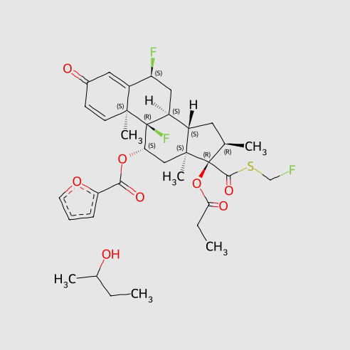 CCC(=O)O[C@]1(C(=O)SCF)[C@H](C)C[C@H]2[C@@H]3C[C@H](F)C4=CC(=O)C=C[C@]4(C)[C@@]3(F)[C@@H](OC(=O)c3ccco3)C[C@@]21C.CCC(C)O